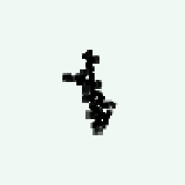 COC(=O)NC(CCC=CC(=O)N(C)C)C(=O)Nc1ccc(CC(C)C)n(Cc2nc3c(F)cnc(CC(C)C)c3[nH]2)c1=O